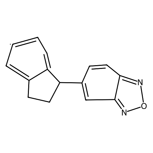 [c]1ccc2c(c1)CCC2c1ccc2nonc2c1